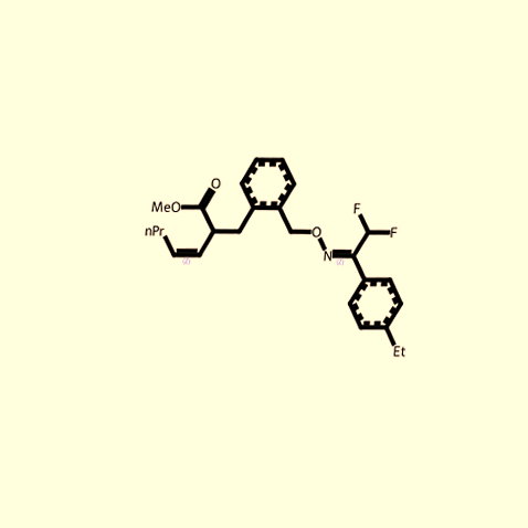 CCC/C=C\C(Cc1ccccc1CO/N=C(/c1ccc(CC)cc1)C(F)F)C(=O)OC